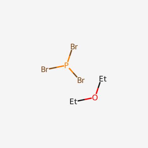 BrP(Br)Br.CCOCC